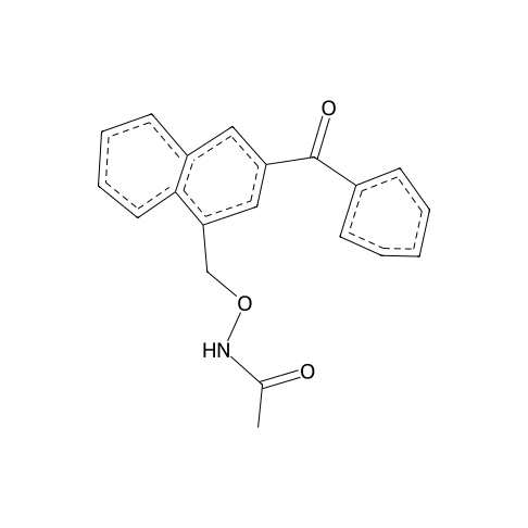 CC(=O)NOCc1cc(C(=O)c2ccccc2)cc2ccccc12